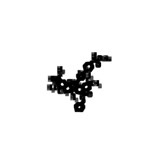 CC1(C)CC[C@]2(C(=O)OCc3ccccc3)CC[C@]3(C)C(=C(c4ccc(N5CCC(NC(=O)OC(C)(C)C)CC5)nc4)CC4[C@@]5(C)Cc6c(n[nH]c6N)C(C)(C)C5CC[C@]43C)C2C1